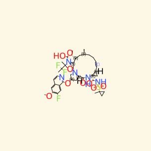 CC[C@@H]1C[C@@H](C)CC/C=C\[C@@H]2C[C@@]2(C(=O)NS(=O)(=O)C2(C)CC2)NC(=O)[C@@H]2C[C@@H](Oc3nccc4cc(OC)c(F)cc34)CN2C(=O)[C@H]1N(C(=O)O)C(C)(C)C(C)(F)F